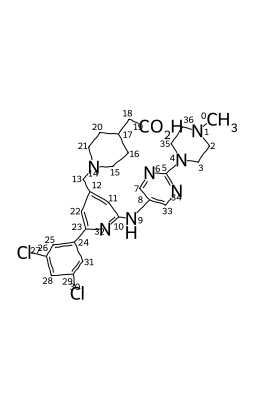 CN1CCN(c2ncc(Nc3cc(CN4CCC(CC(=O)O)CC4)cc(-c4cc(Cl)cc(Cl)c4)n3)cn2)CC1